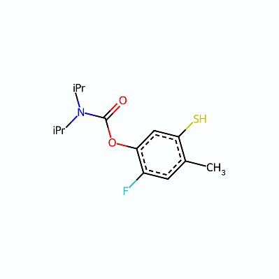 Cc1cc(F)c(OC(=O)N(C(C)C)C(C)C)cc1S